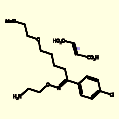 COCCOCCCCC(=NOCCN)c1ccc(Cl)cc1.O=C(O)/C=C/C(=O)O